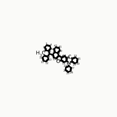 Cc1ccccc1C(c1ccccc1)c1cc2oc3cc(N(c4ccccc4)c4ccccc4C)ccc3c2c2ccccc12